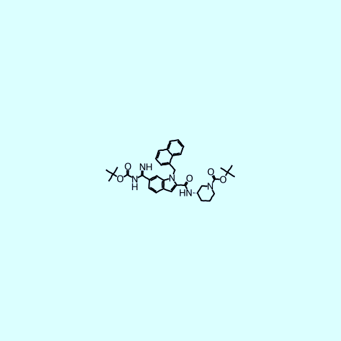 CC(C)(C)OC(=O)NC(=N)c1ccc2cc(C(=O)N[C@H]3CCCN(C(=O)OC(C)(C)C)C3)n(Cc3cccc4ccccc34)c2c1